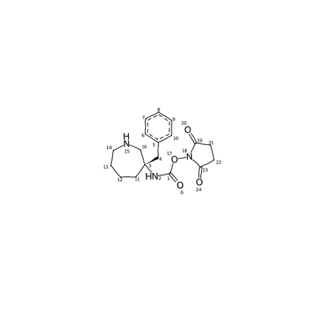 O=C(N[C@]1(Cc2ccccc2)CCCCNC1)ON1C(=O)CCC1=O